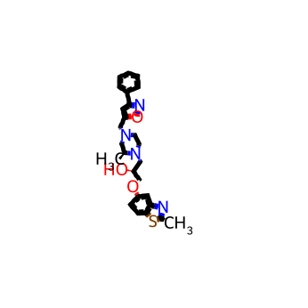 Cc1nc2cc(OC[C@H](O)CN3CCN(Cc4cc(-c5ccccc5)no4)C[C@@H]3C)ccc2s1